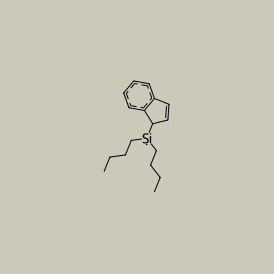 CCCC[Si](CCCC)C1C=Cc2ccccc21